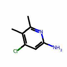 Cc1nc(N)cc(Cl)c1C